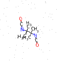 CC(C)(N=C=O)C(C)(C)N=C=O